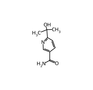 CC(C)(O)c1ccc(C(N)=O)cn1